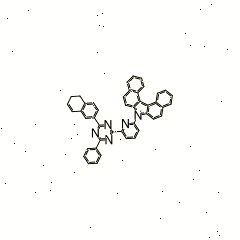 C1=Cc2cc(-c3nc(-c4ccccc4)nc(-c4cccc(-n5c6ccc7ccccc7c6c6c7ccccc7ccc65)n4)n3)ccc2CC1